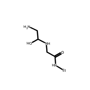 CCNC(=O)CNC(O)CN